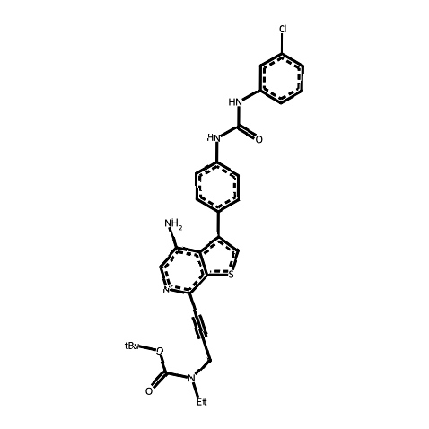 CCN(CC#Cc1ncc(N)c2c(-c3ccc(NC(=O)Nc4cccc(Cl)c4)cc3)csc12)C(=O)OC(C)(C)C